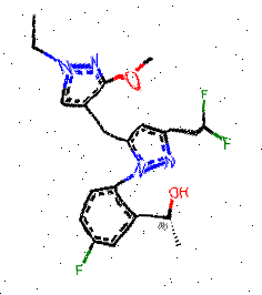 CCn1cc(Cc2cc(C(F)F)nn2-c2ccc(F)cc2[C@@H](C)O)c(OC)n1